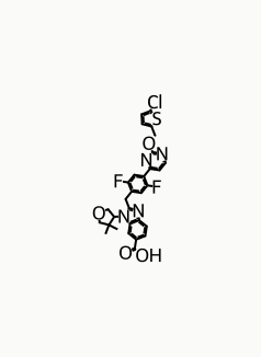 CC1(C)COCC1n1c(Cc2cc(F)c(-c3ccnc(OCc4ccc(Cl)s4)n3)cc2F)nc2ccc(C(=O)O)cc21